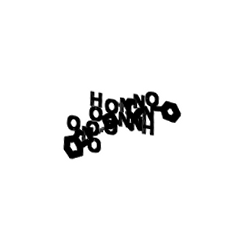 CO[C@@H]1[C@H](O)[C@@H](CON2C(=O)c3ccccc3C2=O)O[C@H]1n1cnc2c(NC(=O)c3ccccc3)ncnc21